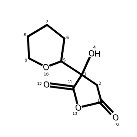 O=C1CC(O)(C2CCCCO2)C(=O)O1